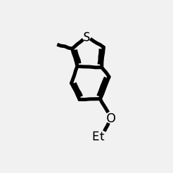 CCOc1ccc2c(C)scc2c1